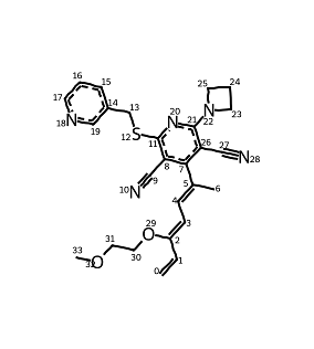 C=CC(=C/C=C(\C)c1c(C#N)c(SCc2cccnc2)nc(N2CCC2)c1C#N)OCCOC